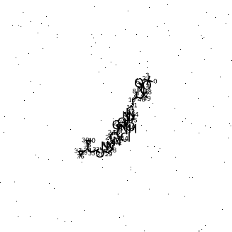 CC(C)(C)OC(=O)N1CC(CCCn2ccc(S(=O)(=O)NC(=O)c3ccc(-n4ccc(OCCC(C5CC5)C5CC5)n4)nc3Cl)n2)CC1(C)C